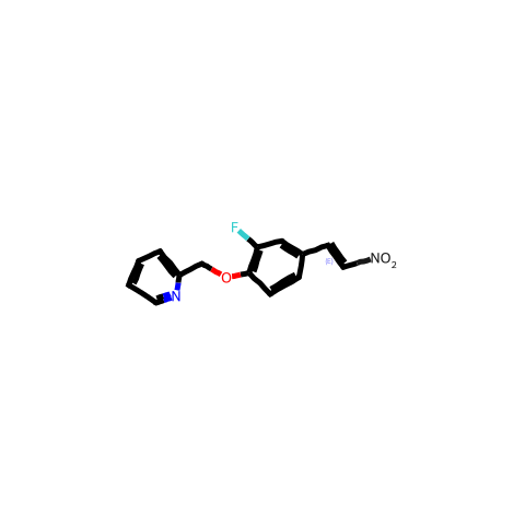 O=[N+]([O-])/C=C/c1ccc(OCc2ccccn2)c(F)c1